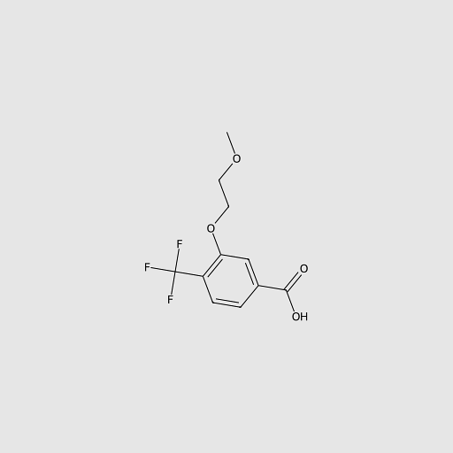 COCCOc1cc(C(=O)O)ccc1C(F)(F)F